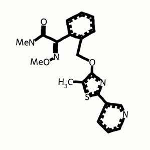 CNC(=O)C(=NOC)c1ccccc1COc1nc(-c2cccnc2)sc1C